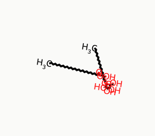 CCCCCCCCCCCCCCCCCCCCCCCCCC(=O)OC(CCCCCCCCCCCCCC)C(O)CCO[C@H]1O[C@H](CO)[C@H](O)[C@H](O)[C@H]1O